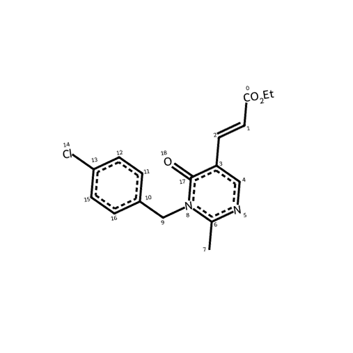 CCOC(=O)/C=C/c1cnc(C)n(Cc2ccc(Cl)cc2)c1=O